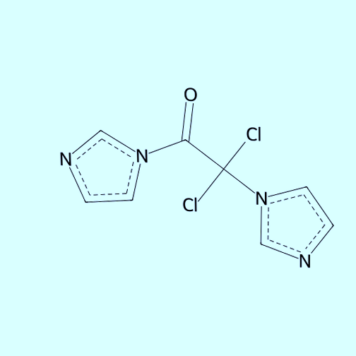 O=C(n1ccnc1)C(Cl)(Cl)n1ccnc1